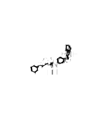 O=C(COc1ccccc1)NC(=S)Nc1ccc(S(=O)(=O)NC2=CCC=C2)cc1